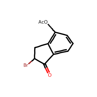 CC(=O)Oc1cccc2c1CC(Br)C2=O